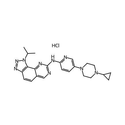 CC(C)n1nnc2ccc3cnc(Nc4ccc(N5CCN(C6CC6)CC5)cn4)nc3c21.Cl